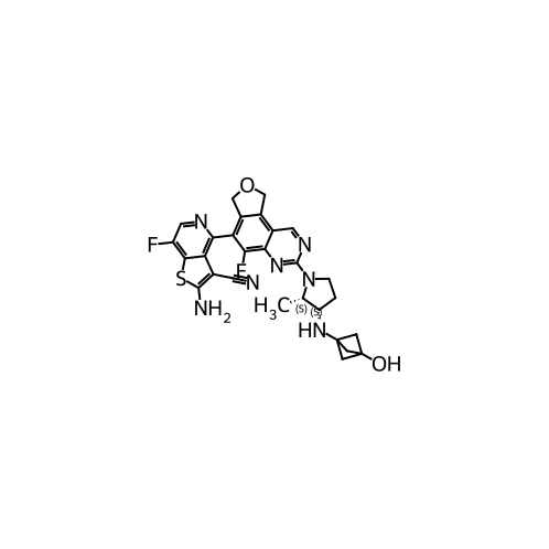 C[C@H]1[C@@H](NC23CC(O)(C2)C3)CCN1c1ncc2c3c(c(-c4ncc(F)c5sc(N)c(C#N)c45)c(F)c2n1)COC3